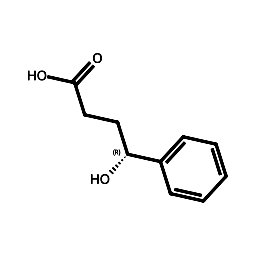 O=C(O)CC[C@@H](O)c1ccccc1